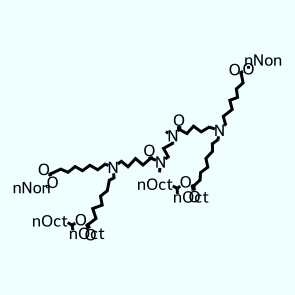 CCCCCCCCCOC(=O)CCCCCCCN(CCCCCCCC(=O)OC(CCCCCCCC)CCCCCCCC)CCCCC(=O)N(C)CCCN(C)C(=O)CCCCN(CCCCCCCC(=O)OCCCCCCCCC)CCCCCCCC(=O)OC(CCCCCCCC)CCCCCCCC